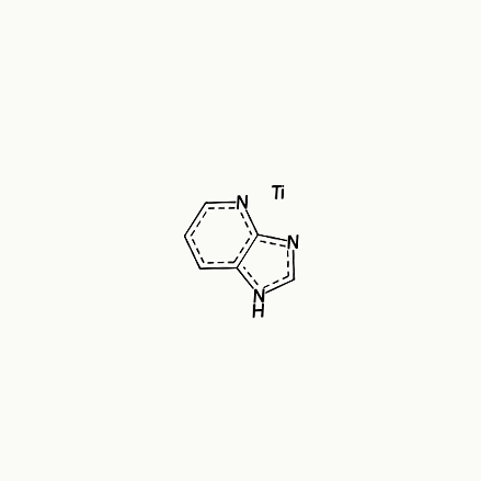 [Ti].c1cnc2nc[nH]c2c1